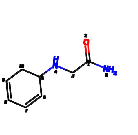 NC(=O)CNC1C=CC=CC1